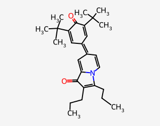 CCCC1=C(CCC)N2C=CC(=C3C=C(C(C)(C)C)C(=O)C(C(C)(C)C)=C3)C=C2C1=O